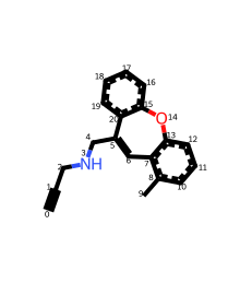 C#CCNCC1=Cc2c(C)cccc2Oc2ccccc21